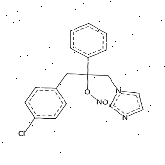 O=[N+]([O-])OC(Cc1ccc(Cl)cc1)(Cn1ccnc1)c1ccccc1